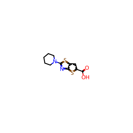 O=C(O)c1cc2sc(N3CCCCC3)nc2s1